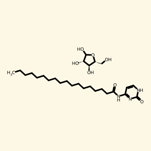 CCCCCCCCCCCCCCCCCC(=O)Nc1cc[nH]c(=O)n1.OC[C@H]1OC(O)[C@@H](O)[C@@H]1O